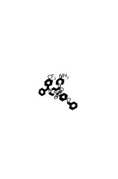 NC1CCN(C(=O)C2CN(C(c3ccc(C(F)(F)F)cc3)C3CCCCC3)CCN2S(=O)(=O)c2ccc(OCC3CCCCC3)cc2)CC1